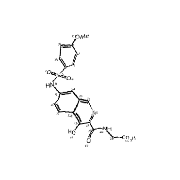 COc1ccc(S(=O)(=O)Nc2ccc3c(O)c(C(=O)NCC(=O)O)ncc3c2)cc1